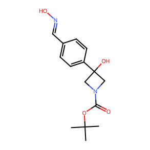 CC(C)(C)OC(=O)N1CC(O)(c2ccc(C=NO)cc2)C1